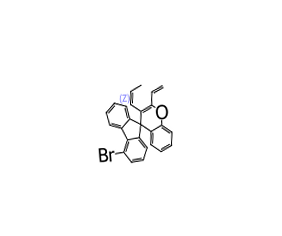 C=CC1=C(/C=C\C)C2(c3ccccc3O1)c1ccccc1-c1c(Br)cccc12